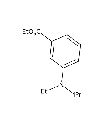 CCOC(=O)c1cccc(N(CC)C(C)C)c1